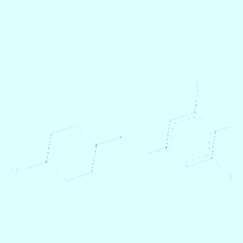 Fc1cc(OCC2CCC(S)CC2)cc(F)c1F